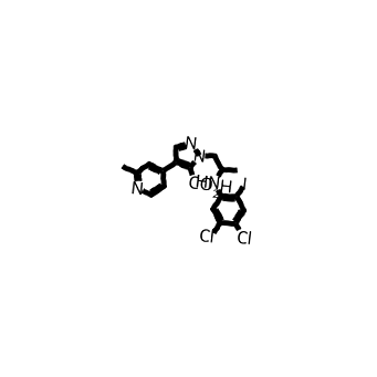 Cc1cc(-c2cnn(CC(C)Nc3cc(Cl)c(Cl)cc3I)c2C(=O)O)ccn1